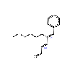 CCCCCCC(/C=C/C=O)=C\c1ccccc1